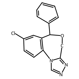 Clc1ccc2c(c1)C(c1ccccc1)OCc1nncn1-2